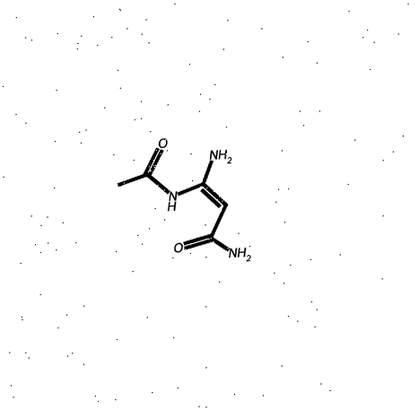 CC(=O)N/C(N)=C\C(N)=O